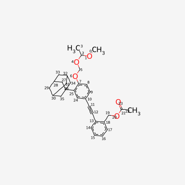 COC(C)OCOc1ccc(C#Cc2ccccc2COC(C)=O)cc1C12CC3CC(CC(C3)C1)C2